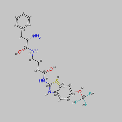 N[C@@H](Cc1ccccc1)C(=O)NCCCC(=O)Nc1nc2ccc(OC(F)(F)F)cc2s1